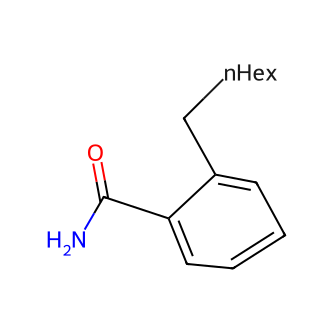 CCCCCCCc1ccccc1C(N)=O